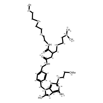 CCOCCOCCOCCNC(=O)C(CSCCN(C)C)CC(=O)NCc1ccc(Cn2c(O)nc3c(N)nc(OCCOC)nc32)cc1